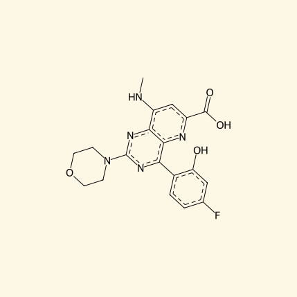 CNc1cc(C(=O)O)nc2c(-c3ccc(F)cc3O)nc(N3CCOCC3)nc12